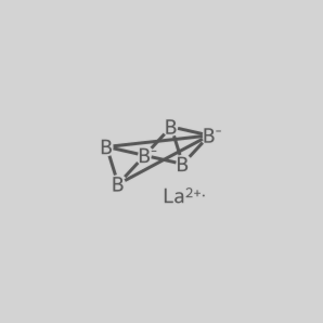 B12B3[B-]14B1B4[B-]231.[La+2]